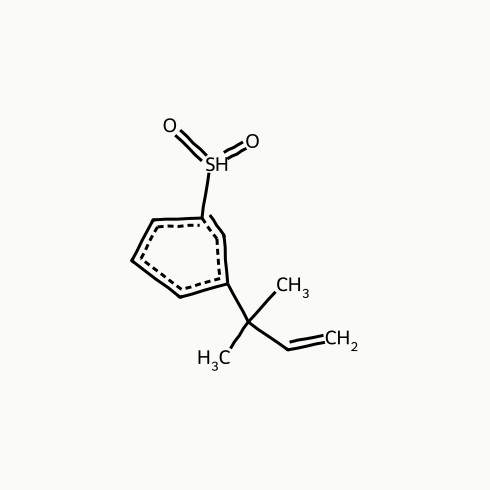 C=CC(C)(C)c1cccc([SH](=O)=O)c1